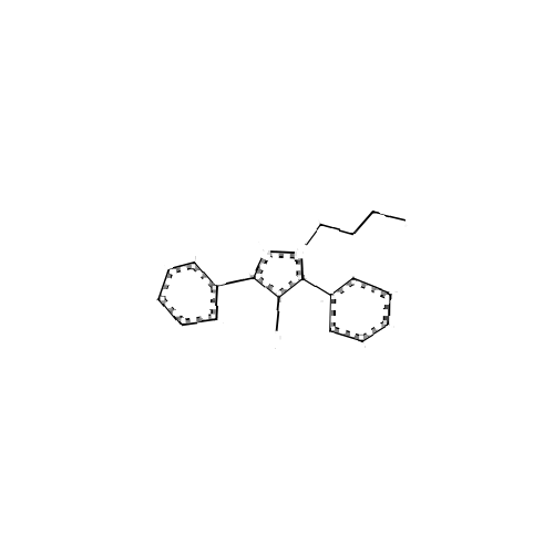 CCCCn1nc(-c2ccccc2)c(O)c1-c1ccccc1